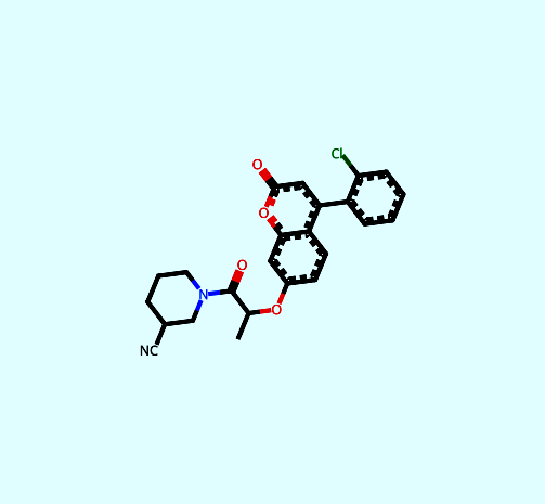 CC(Oc1ccc2c(-c3ccccc3Cl)cc(=O)oc2c1)C(=O)N1CCCC(C#N)C1